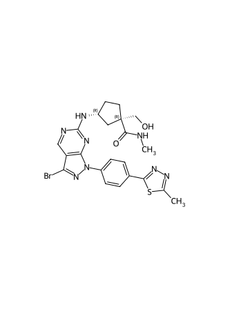 CNC(=O)[C@]1(CO)CC[C@@H](Nc2ncc3c(Br)nn(-c4ccc(-c5nnc(C)s5)cc4)c3n2)C1